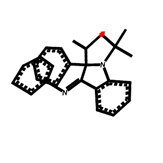 CC(C)C1(c2ccccc2)/C(=N\c2ccccc2)c2ccccc2N1C(C)(C)C